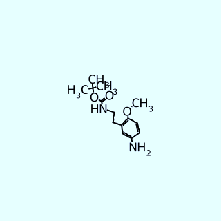 COc1ccc(N)cc1CCNC(=O)OC(C)(C)C